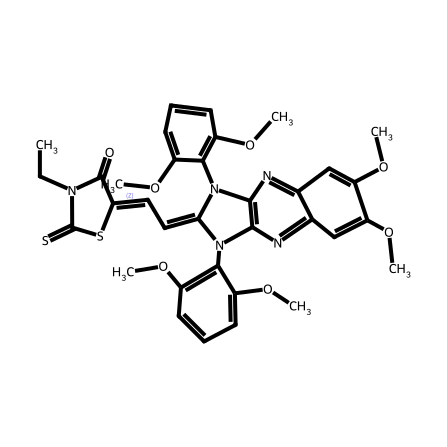 CCN1C(=O)/C(=C/C=C2N(c3c(OC)cccc3OC)c3nc4cc(OC)c(OC)cc4nc3N2c2c(OC)cccc2OC)SC1=S